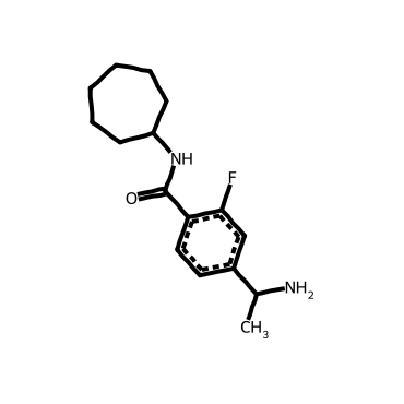 CC(N)c1ccc(C(=O)NC2CCCCCC2)c(F)c1